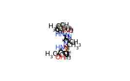 CC(C)(O)CC(NC(=O)N1Cc2c(nn(C=O)c2NC(=O)C2(S(C)(C)C)CCC2)C1(C)C)c1ccccc1F